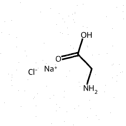 NCC(=O)O.[Cl-].[Na+]